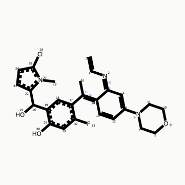 C=C/N=C1/C=C(N2CCOCC2)C=C/C1=C(/C)c1cc(C(O)c2ccc(Cl)n2C)c(O)cc1F